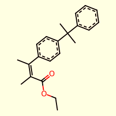 CCOC(=O)C(C)=C(C)c1ccc(C(C)(C)c2ccccc2)cc1